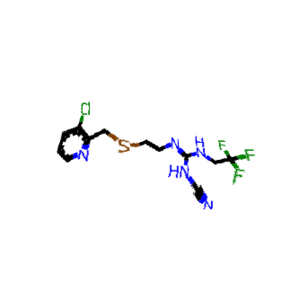 N#CN/C(=N\CCSCc1ncccc1Cl)NCC(F)(F)F